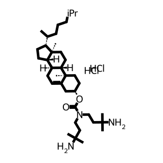 CC(C)CCCC(C)[C@H]1CC[C@H]2[C@@H]3CC=C4C[C@@H](OC(=O)N(CCC(C)(C)N)CCC(C)(C)N)CC[C@]4(C)[C@H]3CC[C@]12C.Cl.Cl